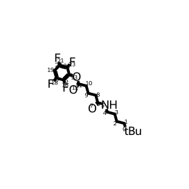 CC(C)(C)CCCCNC(=O)CCCC(=O)Oc1c(F)c(F)cc(F)c1F